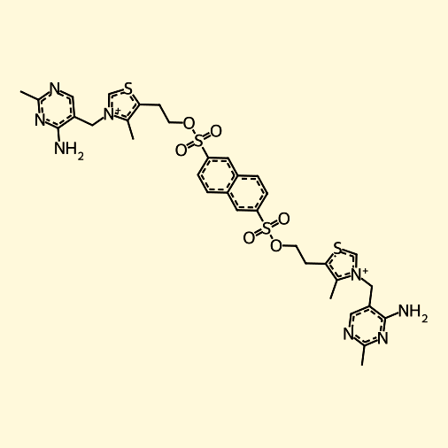 Cc1ncc(C[n+]2csc(CCOS(=O)(=O)c3ccc4cc(S(=O)(=O)OCCc5sc[n+](Cc6cnc(C)nc6N)c5C)ccc4c3)c2C)c(N)n1